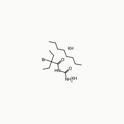 CCC(Br)(CC)C(=O)NC(N)=O.CCCCCCCC.[KH].[KH]